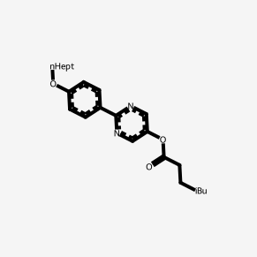 CCCCCCCOc1ccc(-c2ncc(OC(=O)CCC(C)CC)cn2)cc1